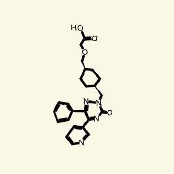 O=C(O)COC[C@H]1CC[C@@H](Cn2nc(-c3ccccc3)c(-c3cccnc3)nc2=O)CC1